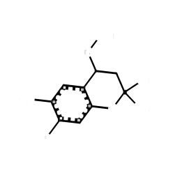 Cc1cc2c(cc1Br)OC(C)(C)CC2NC(=O)O